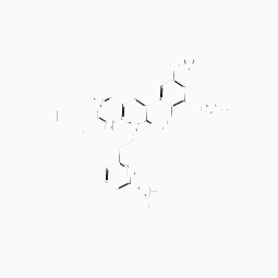 COc1cc(OC)c(Cl)c(-c2cc3cnc([S+](C)[O-])nc3n(CCc3cccc(NC(=O)O)n3)c2=O)c1